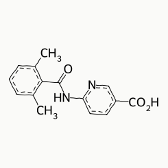 Cc1cccc(C)c1C(=O)Nc1ccc(C(=O)O)cn1